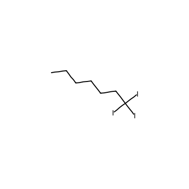 CCCCCCC(I)(I)I